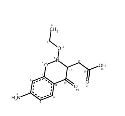 CCON1Oc2cc(N)ccc2C(=O)C1CC(=O)O